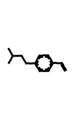 C=Cc1ccc(CCC(C)C)cc1